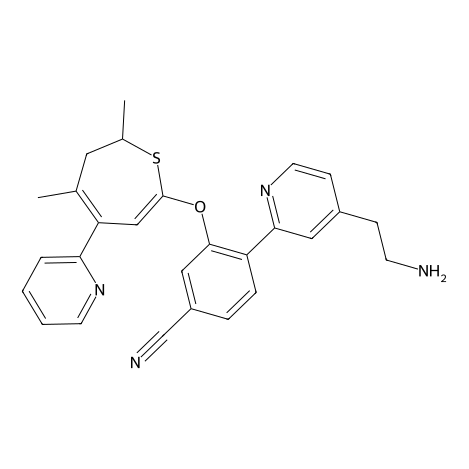 CC1=C(c2ccccn2)C=C(Oc2cc(C#N)ccc2-c2cc(CCN)ccn2)SC(C)C1